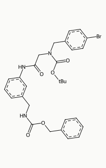 CC(C)(C)OC(=O)N(CC(=O)Nc1cccc(CNC(=O)OCc2ccccc2)c1)Cc1ccc(Br)cc1